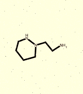 NCCN1CCCCN1